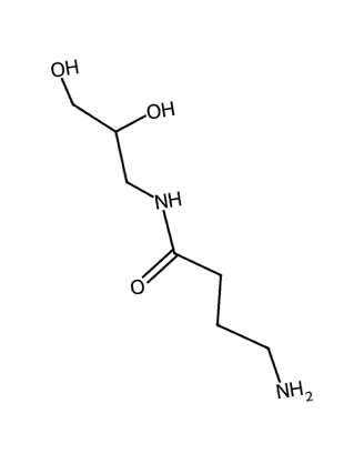 NCCCC(=O)NCC(O)CO